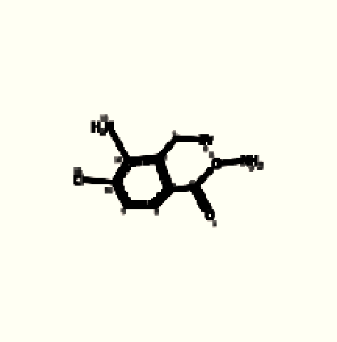 CC(C)Cc1c(C(=O)ON)ccc(Cl)c1N